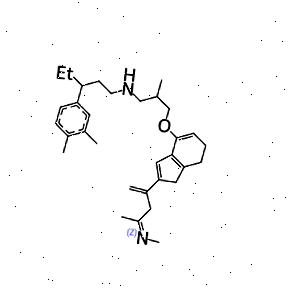 C=C(C/C(C)=N\C)C1=CC2=C(CCC=C2OCC(C)CNCCC(CC)c2ccc(C)c(C)c2)C1